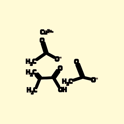 C=C(C)C(=O)O.CC(=O)[O-].CC(=O)[O-].[Cu+2]